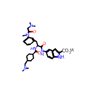 CN(C)CC(=O)N(C)c1cccc(CC(NC(=O)C2CCC(CN(C)C)CC2)C(=O)Nc2ccc3[nH]c(C(=O)O)cc3c2)c1